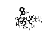 CNC(=O)[C@H](Cc1c[nH]c2ccccc12)NC(=O)[C@H](CC(C)C)N[C@H](CCO)C(=O)OC(C)(C)C